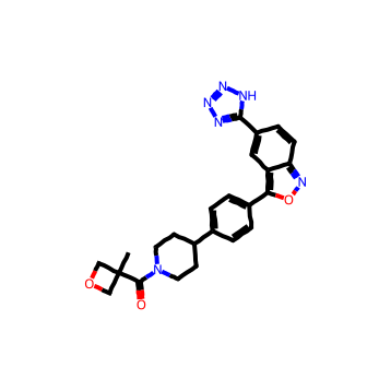 CC1(C(=O)N2CCC(c3ccc(-c4onc5ccc(-c6nnn[nH]6)cc45)cc3)CC2)COC1